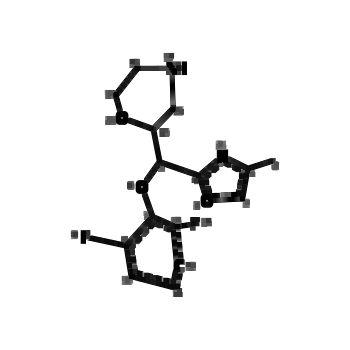 Cc1coc(C(Oc2c(F)cccc2F)C2CNCCO2)n1